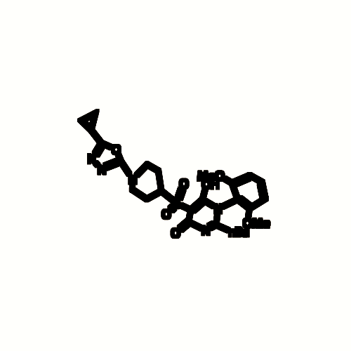 CCCCc1nc(=O)c(S(=O)(=O)C2CCN(c3nnc(C4CC4)o3)CC2)c(O)n1-c1c(OC)cccc1OC